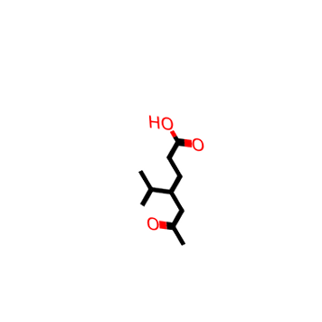 CC(=O)CC(CCC(=O)O)C(C)C